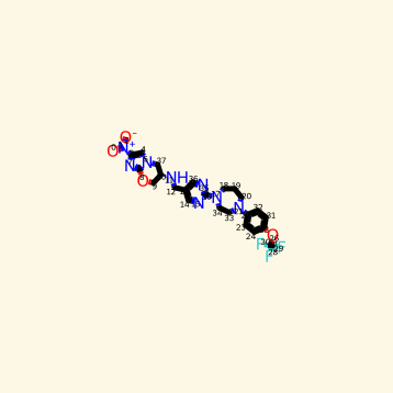 O=[N+]([O-])c1cn2c(n1)OC[C@@H](NCc1cnc(N3CCCN(c4ccc(OC(F)(F)F)cc4)CC3)nc1)C2